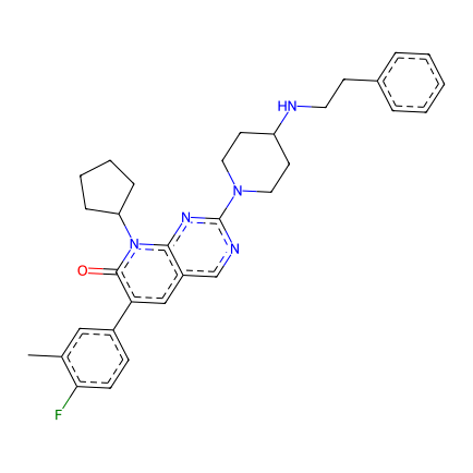 Cc1cc(-c2cc3cnc(N4CCC(NCCc5ccccc5)CC4)nc3n(C3CCCC3)c2=O)ccc1F